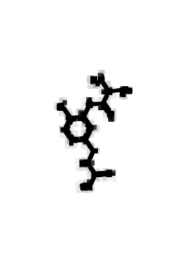 CC(C)(C)C(=O)NCc1ccc(Cl)c(OC(=O)N(N)C(C)(C)C)c1